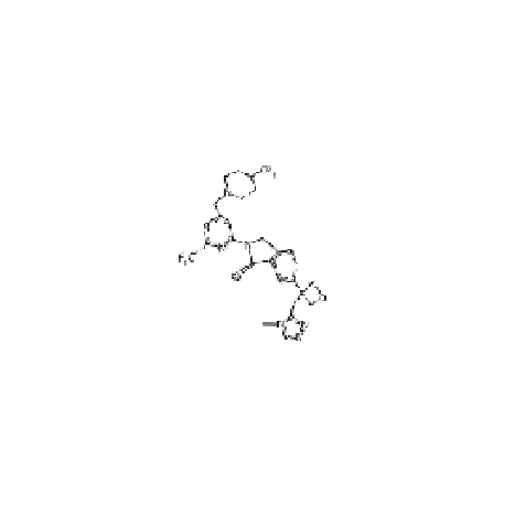 Cn1cnnc1CC1(c2ccc3c(c2)C(=O)N(c2cc(CN4CCC(C(F)(F)F)CC4)cc(C(F)(F)F)n2)C3)COC1